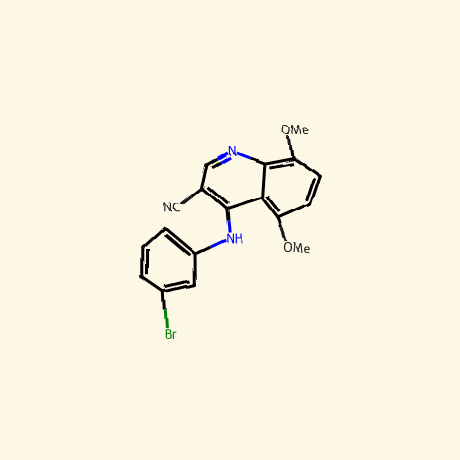 COc1ccc(OC)c2c(Nc3cccc(Br)c3)c(C#N)cnc12